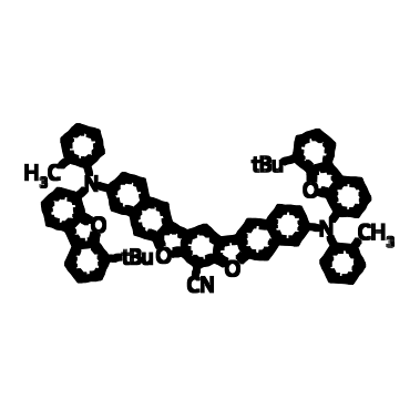 Cc1ccccc1N(c1ccc2cc3c(cc2c1)oc1c(C#N)c2oc4cc5cc(N(c6ccccc6C)c6cccc7c6oc6c(C(C)(C)C)cccc67)ccc5cc4c2cc13)c1cccc2c1oc1c(C(C)(C)C)cccc12